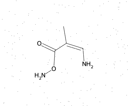 C/C(=C/N)C(=O)ON